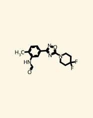 Cc1ccc(-c2noc(N3CCC(F)(F)CC3)n2)cc1NC=O